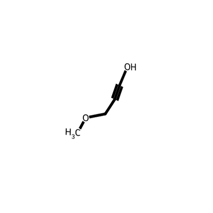 COCC#CO